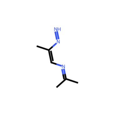 CC(C)=N/C=C(/C)N=N